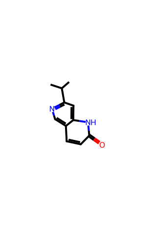 CC(C)c1cc2[nH]c(=O)ccc2cn1